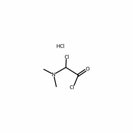 CN(C)C(Cl)C(=O)Cl.Cl